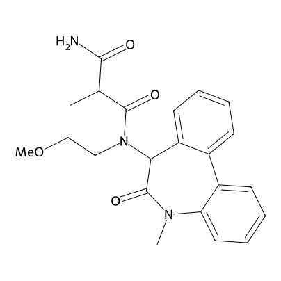 COCCN(C(=O)C(C)C(N)=O)C1C(=O)N(C)c2ccccc2-c2ccccc21